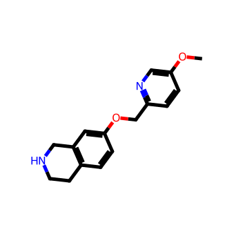 COc1ccc(COc2ccc3c(c2)CNCC3)nc1